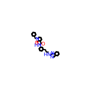 O=C(Nc1cccc(CCCNc2ncc3ccccc3n2)c1)c1cccn(Cc2ccccc2)c1=O